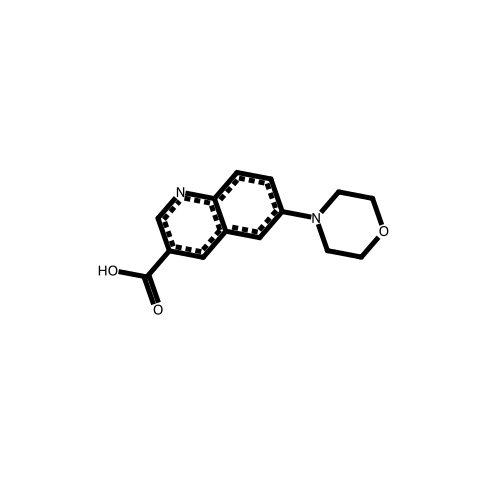 O=C(O)c1cnc2ccc(N3CCOCC3)cc2c1